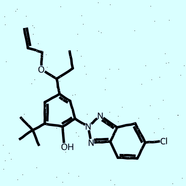 C=CCOC(CC)c1cc(-n2nc3ccc(Cl)cc3n2)c(O)c(C(C)(C)C)c1